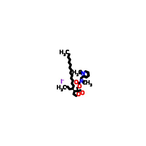 CCCCCCCCCCCCCCC(CCC)[C@H]1CCO[C@]1(C=O)COC(=O)N(C)Cc1cccc[n+]1C.[I-]